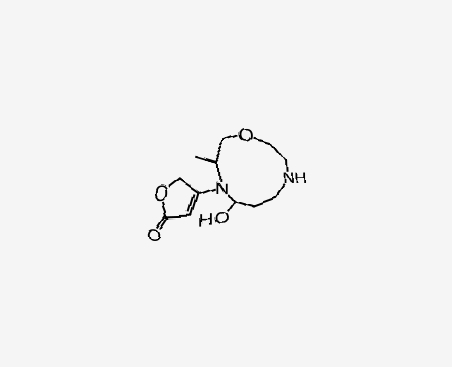 CC1COCCNCCC(O)N1C1=CC(=O)OC1